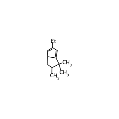 CCC1=CC2CC(C)C(C)(C)C2=C1